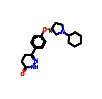 O=C1CCC(c2ccc(O[C@@H]3CCN(C4CCCCC4)C3)cc2)=NN1